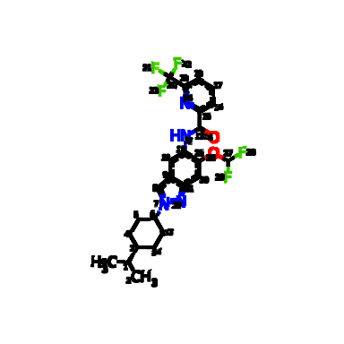 CC(C)[C@H]1CC[C@H](n2cc3cc(NC(=O)c4cccc(C(F)(F)F)n4)c(OC(F)F)cc3n2)CC1